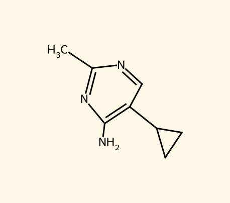 Cc1ncc(C2CC2)c(N)n1